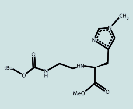 COC(=O)[C@H](Cc1cn(C)cn1)NCCNC(=O)OC(C)(C)C